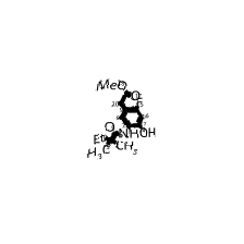 CCC(C)(C)C(=O)Nc1cc(CC(=O)OC)c(F)cc1O